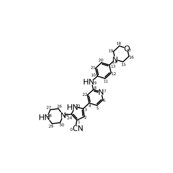 N#Cc1cc(-c2ccnc(Nc3ccc(N4CCOCC4)cc3)c2)[nH]c1N1CCNCC1